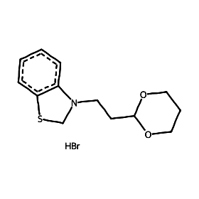 Br.c1ccc2c(c1)SCN2CCC1OCCCO1